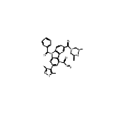 Cc1noc(C)c1-c1cc(C(N)=O)c2c3cc(C(=O)N4CC(C)OC(C)C4)ccc3n(C(=O)c3ccccc3)c2c1